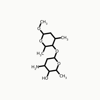 COC1CC(C)C(OC2CC(N)C(O)C(C)O2)C(C)O1